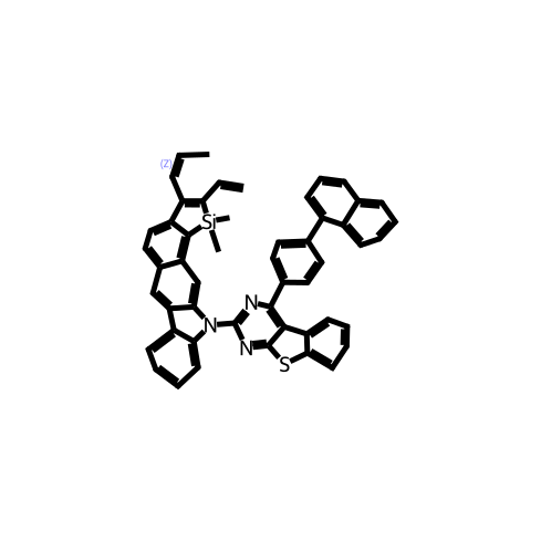 C=CC1=C(/C=C\C)c2ccc3cc4c5ccccc5n(-c5nc(-c6ccc(-c7cccc8ccccc78)cc6)c6c(n5)sc5ccccc56)c4cc3c2[Si]1(C)C